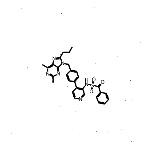 CCCc1nc2c(C)nc(C)nc2n1Cc1ccc(-c2ccncc2NS(=O)(=O)C(=O)c2ccccc2)cc1